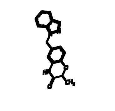 CC1Oc2ccc(Cn3ncc4ccccc43)cc2NC1=O